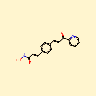 O=C(C=Cc1ccc(C=CC(=O)c2ccccn2)cc1)NO